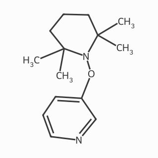 CC1(C)CCCC(C)(C)N1Oc1cccnc1